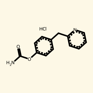 Cl.NC(=O)Oc1ccc(Cc2ccccn2)cc1